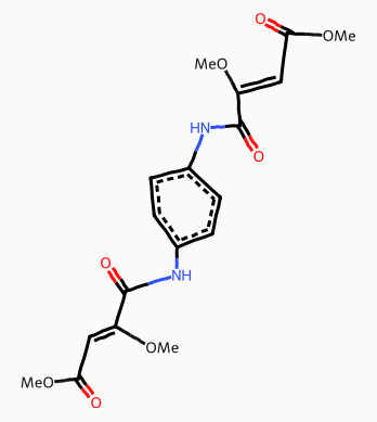 COC(=O)/C=C(\OC)C(=O)Nc1ccc(NC(=O)/C(=C/C(=O)OC)OC)cc1